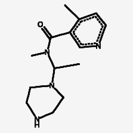 Cc1ccncc1C(=O)N(C)C(C)N1CCNCC1